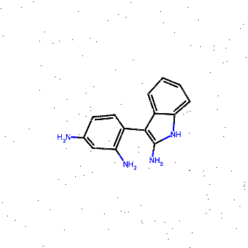 Nc1ccc(-c2c(N)[nH]c3ccccc23)c(N)c1